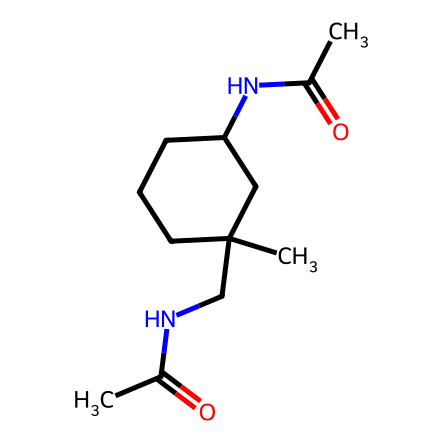 CC(=O)NCC1(C)CCCC(NC(C)=O)C1